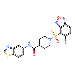 O=C(Nc1ccc2scnc2c1)C1CCN(S(=O)(=O)c2c(Cl)ccc3nonc23)CC1